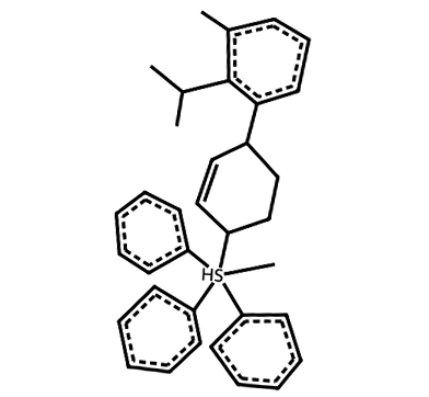 Cc1cccc(C2C=CC([SH](C)(c3ccccc3)(c3ccccc3)c3ccccc3)CC2)c1C(C)C